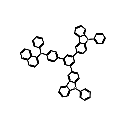 c1ccc(N(c2ccc(-c3cc(-c4ccc5c(c4)c4ccccc4n5-c4ccccc4)cc(-c4ccc5c(c4)c4ccccc4n5-c4ccccc4)c3)cc2)c2cccc3ccccc23)cc1